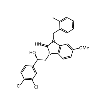 COc1ccc2c(c1)n(Cc1ccccc1C)c(=N)n2C[C@H](O)c1ccc(Cl)c(Cl)c1